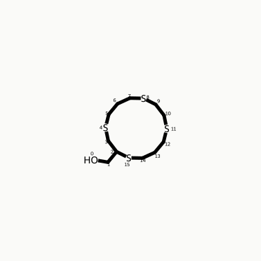 OCC1CSCCCSCCSCCCS1